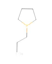 CCCCCCP1CCCC1